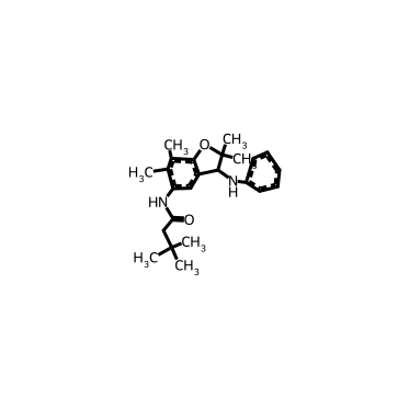 Cc1c(NC(=O)CC(C)(C)C)cc2c(c1C)OC(C)(C)C2Nc1ccccc1